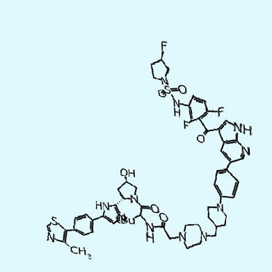 Cc1ncsc1-c1ccc(-c2cnc([C@@H]3C[C@@H](O)CN3C(=O)C(NC(=O)CN3CCN(CC4CCN(c5ccc(-c6cnc7[nH]cc(C(=O)c8c(F)ccc(NS(=O)(=O)N9CC[C@@H](F)C9)c8F)c7c6)cc5)CC4)CC3)C(C)(C)C)[nH]2)cc1